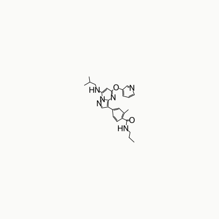 CCCNC(=O)c1ccc(-c2cnn3c(NCC(C)C)cc(Oc4cccnc4)nc23)cc1C